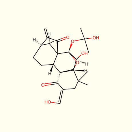 C=C1C(=O)[C@]23[C@H](C)[C@H]1CC[C@H]2[C@@]12CO[C@]3(OC(C)(C)O)[C@@H](O)[C@@H]1C(C)(C)C/C(=C/O)C2=O